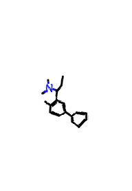 CCC(c1cc(-c2ccccc2)ccc1C)N(C)C